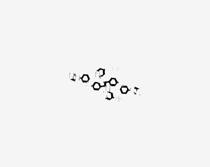 CC(C)(C)c1ccnc(-n2c3cc(Oc4cccc(-n5ccnc5)c4)ccc3c3c2c2ccc(Oc4cccc(-n5ccnc5)c4)cc2n3-c2cc(C(C)(C)C)ccn2)c1